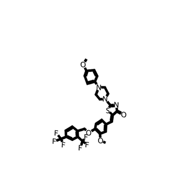 COc1ccc(N2CCN(C3=NC(=O)C(=Cc4ccc(OCc5ccc(C(F)(F)F)cc5C(F)(F)F)c(OC)c4)S3)CC2)cc1